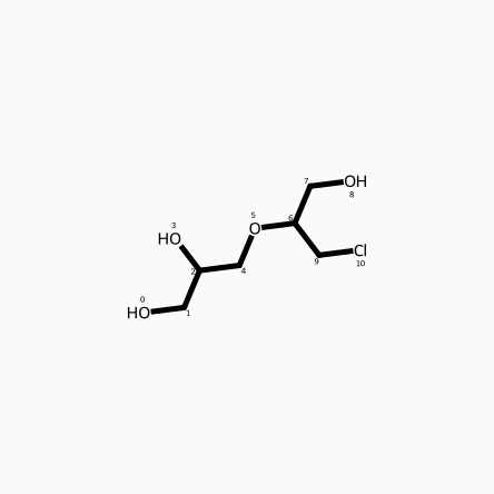 OCC(O)COC(CO)CCl